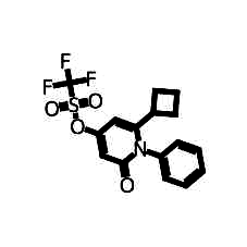 O=c1cc(OS(=O)(=O)C(F)(F)F)cc(C2CCC2)n1-c1ccccc1